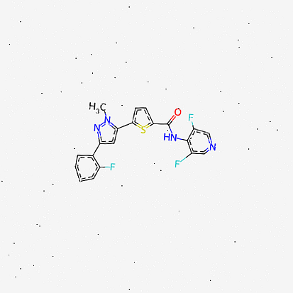 Cn1nc(-c2ccccc2F)cc1-c1ccc(C(=O)Nc2c(F)cncc2F)s1